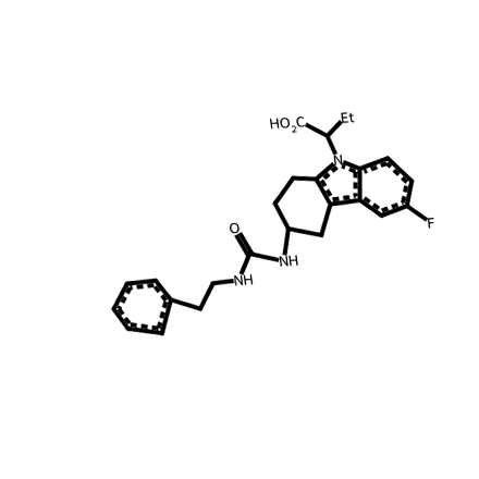 CCC(C(=O)O)n1c2c(c3cc(F)ccc31)CC(NC(=O)NCCc1ccccc1)CC2